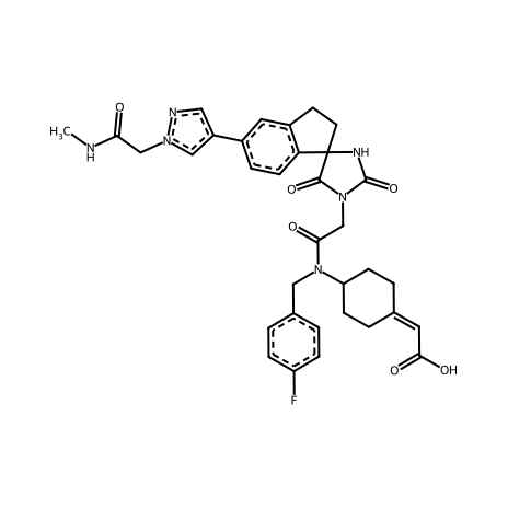 CNC(=O)Cn1cc(-c2ccc3c(c2)CCC32NC(=O)N(CC(=O)N(Cc3ccc(F)cc3)C3CCC(=CC(=O)O)CC3)C2=O)cn1